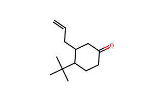 C=CCC1CC(=O)CCC1C(C)(C)C